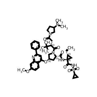 C=C[C@@H]1C[C@]1(NC(=O)[C@@H]1C[C@@H](Oc2cc(-c3ccccc3)nc3cc(OC)ccc23)CN1C(=O)[C@@H](CC(=O)N1CCC(N(C)C)C1)C(C)(C)C)C(=O)NS(=O)(=O)C1CC1